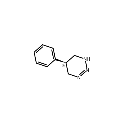 c1ccc([C@@H]2CN=NNC2)cc1